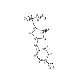 NC(=O)C1CC(Cc2ccc(C(F)(F)F)cc2)CN1